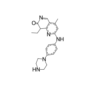 CCC1C(=O)N=Cc2c(C)cc(Nc3ccc(N4CCNCC4)cc3)nc21